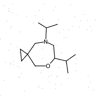 CC(C)C1CN(C(C)C)CC2(CC2)CO1